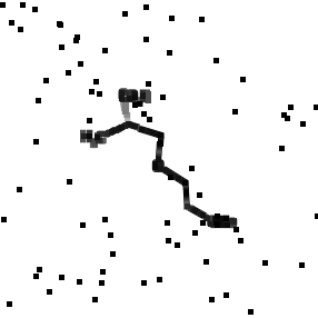 COCCOC[C@H](C)C(=O)O